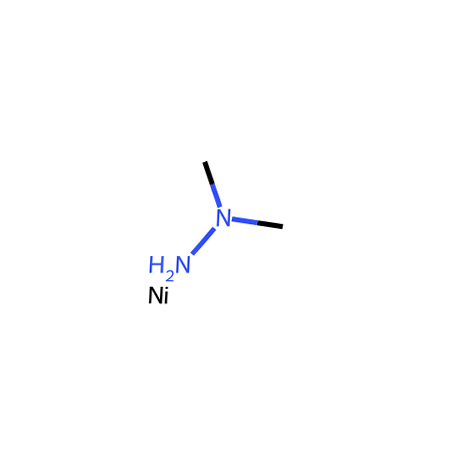 CN(C)N.[Ni]